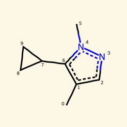 Cc1cnn(C)c1C1CC1